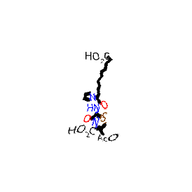 CC(=O)OCC1=C(C(=O)O)N2C(=O)C(NC(=O)C(CCCCCCCCCC(=O)O)n3cccc3)C2SC1